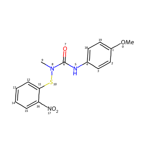 COc1ccc(NC(=O)N(C)Sc2ccccc2[N+](=O)[O-])cc1